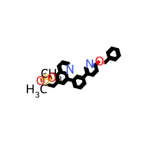 CC(Cc1cc(-c2cccc(-c3ccc(OCc4ccccc4)nc3)c2)c2ncccc2c1)S(C)(=O)=O